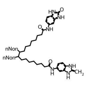 C=C1Nc2ccc(NC(=O)CCCCCCCC(CCCCCCCCC)C(CCCCCCCCC)CCCCCCCC(=O)Nc3ccc4[nH]c(=O)[nH]c4c3)cc2N1